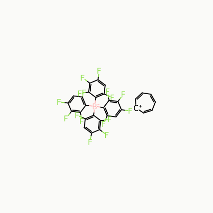 Fc1cc(F)c([B-](c2c(F)cc(F)c(F)c2F)(c2c(F)cc(F)c(F)c2F)c2c(F)cc(F)c(F)c2F)c(F)c1F.c1ccc[cH+]cc1